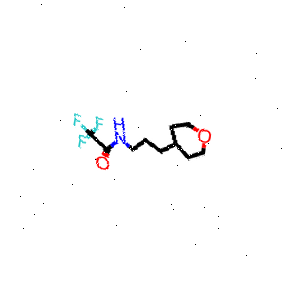 O=C(NCCCC1CCOCC1)C(F)(F)F